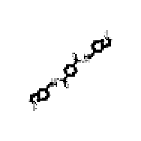 O=C(N/N=C/c1ccc2[nH]ccc2c1)c1ccc(C(=O)N/N=C/c2ccc3[nH]ccc3c2)cc1